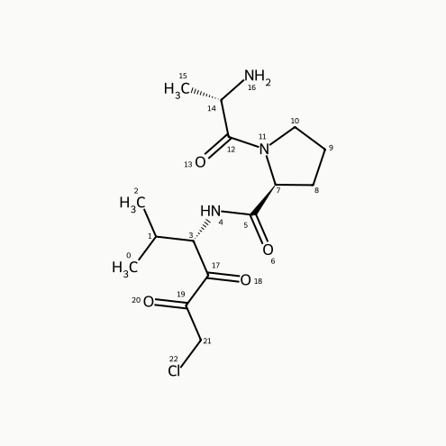 CC(C)[C@H](NC(=O)[C@@H]1CCCN1C(=O)[C@H](C)N)C(=O)C(=O)CCl